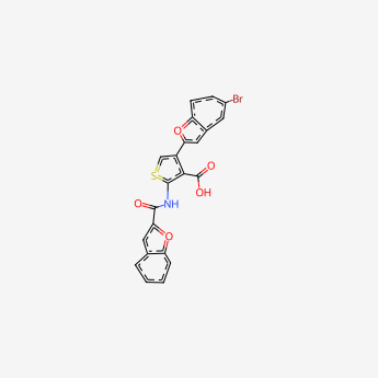 O=C(Nc1scc(-c2cc3cc(Br)ccc3o2)c1C(=O)O)c1cc2ccccc2o1